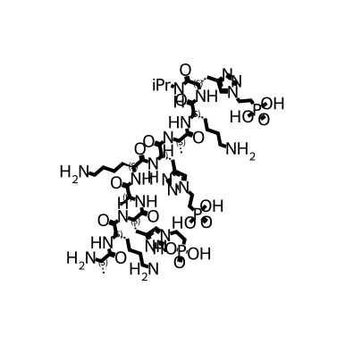 CC(C)NC(=O)[C@H](Cc1cn(CCP(=O)(O)O)nn1)NC(=O)[C@H](CCCCN)NC(=O)[C@H](C)NC(=O)[C@H](Cc1cn(CCP(=O)(O)O)nn1)NC(=O)[C@H](CCCCN)NC(=O)[C@H](C)NC(=O)[C@H](Cc1cn(CCP(=O)(O)O)nn1)NC(=O)[C@H](CCCCN)NC(=O)[C@H](C)N